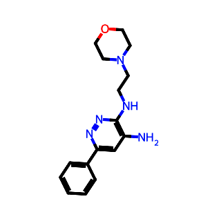 Nc1cc(-c2ccccc2)nnc1NCCN1CCOCC1